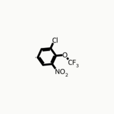 O=[N+]([O-])c1c[c]cc(Cl)c1OC(F)(F)F